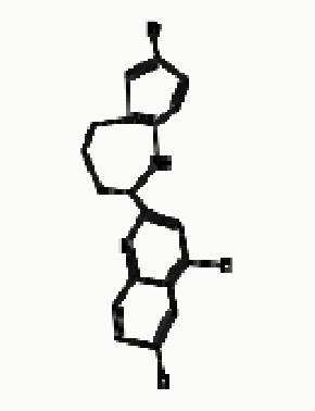 Clc1ccc2nc(C3CCCc4cc(Br)ccc4N3)cc(Cl)c2c1